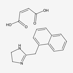 O=C(O)/C=C\C(=O)O.c1ccc2c(CC3=NCCN3)cccc2c1